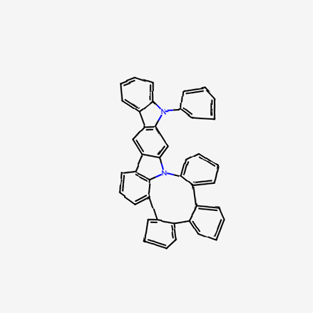 c1ccc(-n2c3ccccc3c3cc4c5cccc6c7ccccc7c7ccccc7c7ccccc7n(c4cc32)c65)cc1